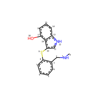 CNCc1ccccc1Sc1c[nH]c2cccc(O)c12